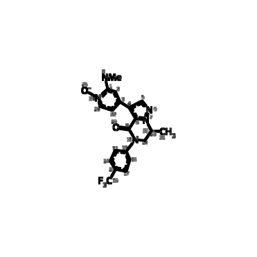 CNc1cc(-c2cnn3c2C(=O)N(c2ccc(C(F)(F)F)cc2)C[C@@H]3C)cc[n+]1[O-]